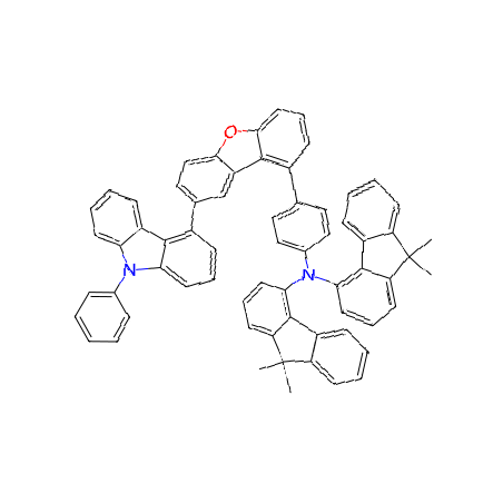 CC1(C)c2ccccc2-c2c(N(c3ccc(-c4cccc5oc6ccc(-c7cccc8c7c7ccccc7n8-c7ccccc7)cc6c45)cc3)c3cccc4c3-c3ccccc3C4(C)C)cccc21